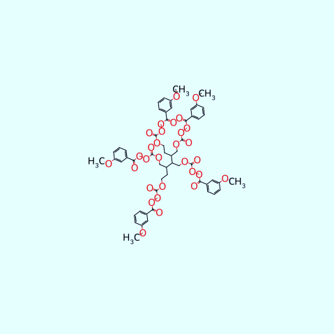 COc1cccc(C(=O)OOC(=O)OCCC(COC(=O)OOC(=O)c2cccc(OC)c2)C(COC(=O)OOC(=O)c2cccc(OC)c2)C(CCOC(=O)OOC(=O)c2cccc(OC)c2)COC(=O)OOC(=O)c2cccc(OC)c2)c1